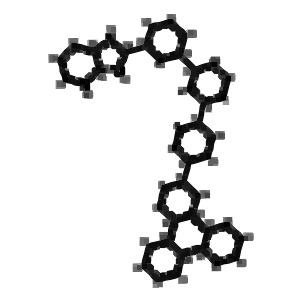 c1cc(-c2ccc(-c3ccc4c5ccccc5c5ccccc5c4c3)cc2)cc(-c2cccc(-c3nc4cccnc4o3)c2)c1